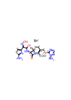 Nc1nc(/C(=N/O)C(=O)N[C@@H]2C(=O)N3C(C(=O)[O-])=C(CSc4nnnn4N)CS[C@@H]23)cs1.[Na+]